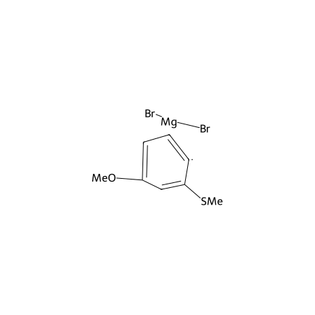 COc1cc[c]c(SC)c1.[Br][Mg][Br]